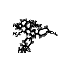 C=Cc1cc2c(N3CCC4(CC3)CNC4)nc(C3CCN(C)CC3)nc2c(OC)c1-c1c(C)ccc2[nH]ncc12